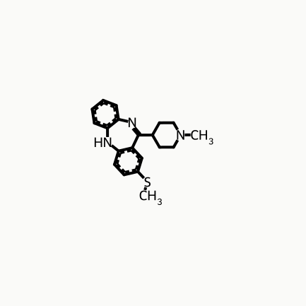 CSc1ccc2c(c1)C(C1CCN(C)CC1)=Nc1ccccc1N2